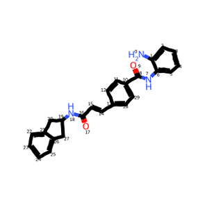 Nc1ccccc1NC(=O)c1ccc(/C=C/C(=O)NC2Cc3ccccc3C2)cc1